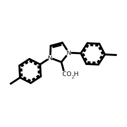 Cc1ccc(N2C=CN(c3ccc(C)cc3)C2C(=O)O)cc1